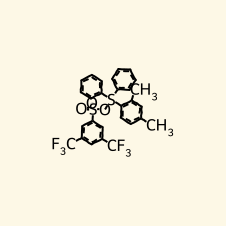 Cc1ccc(S(OS(=O)(=O)c2cc(C(F)(F)F)cc(C(F)(F)F)c2)(c2ccccc2)c2ccccc2)c(C)c1